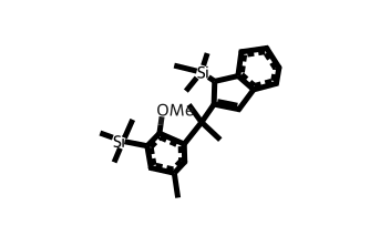 COc1c(C(C)(C)C2=Cc3ccccc3C2[Si](C)(C)C)cc(C)cc1[Si](C)(C)C